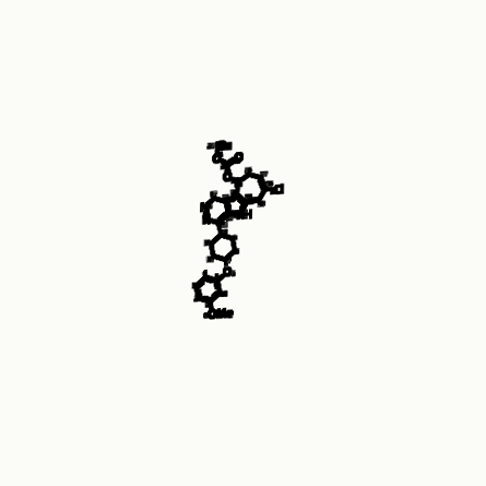 COc1cccc(O[C@H]2CC[C@H](C3=c4[nH]c5c(c4CN=N3)N(OC(=O)OC(C)(C)C)CC=C(Cl)C=5)CC2)c1